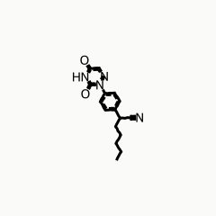 CCCCCC(C#N)c1ccc(-n2ncc(=O)[nH]c2=O)cc1